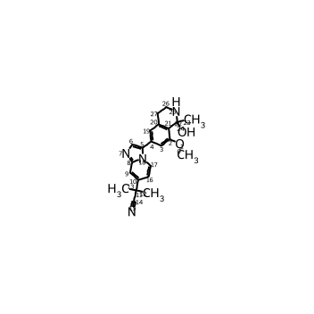 COc1cc(-c2cnc3cc(C(C)(C)C#N)ccn23)cc2c1C(C)(O)NCC2